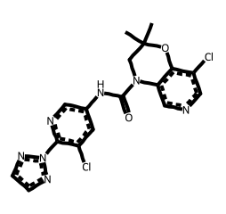 CC1(C)CN(C(=O)Nc2cnc(-n3nccn3)c(Cl)c2)c2cncc(Cl)c2O1